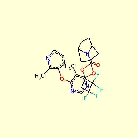 Cc1ncccc1Oc1ncnc(OC2CC3CCC(C2)N3C(=O)OC2CC(F)(F)C2(F)F)c1C